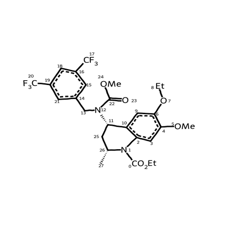 CCOC(=O)N1c2cc(OC)c(OCC)cc2[C@@H](N(Cc2cc(C(F)(F)F)cc(C(F)(F)F)c2)C(=O)OC)C[C@H]1C